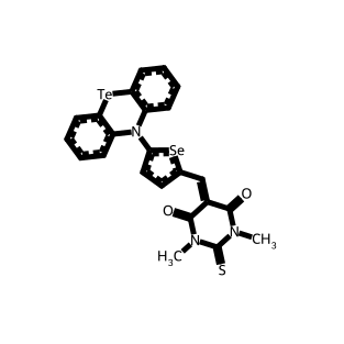 CN1C(=O)C(=Cc2ccc(N3c4ccccc4[Te]c4ccccc43)[se]2)C(=O)N(C)C1=S